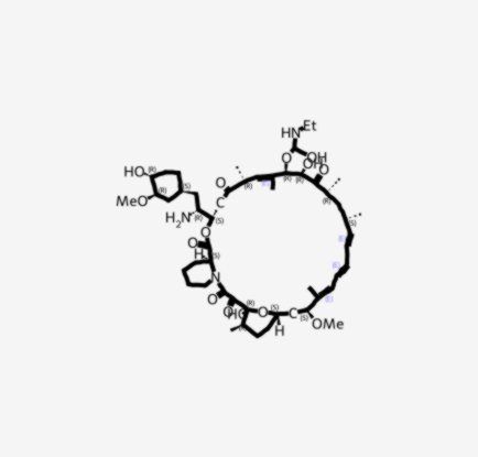 CCNC(O)O[C@@H]1/C(C)=C/[C@@H](C)C(=O)C[C@@H]([C@H](N)C[C@@H]2CC[C@@H](O)[C@H](OC)C2)OC(=O)[C@@H]2CCCCN2C(=O)C(=O)[C@]2(O)O[C@@H](CC[C@H]2C)C[C@H](OC)/C(C)=C/C=C/C=C/[C@@H](C)C[C@@H](C)C(=O)[C@@H]1O